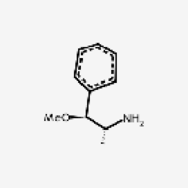 CO[C@@H](c1ccccc1)[C@@H](C)N